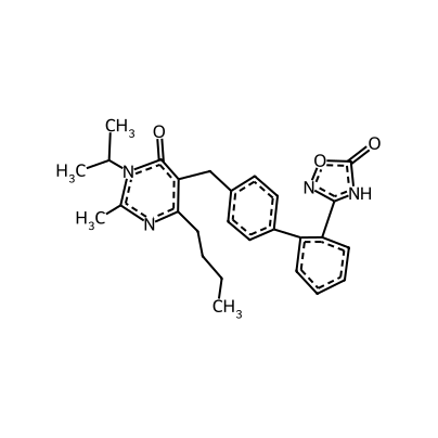 CCCCc1nc(C)n(C(C)C)c(=O)c1Cc1ccc(-c2ccccc2-c2noc(=O)[nH]2)cc1